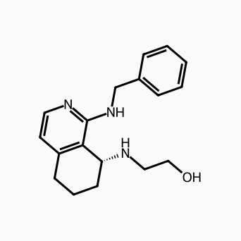 OCCN[C@@H]1CCCc2ccnc(NCc3ccccc3)c21